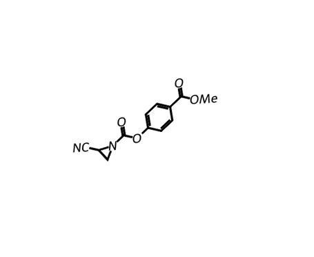 COC(=O)c1ccc(OC(=O)N2CC2C#N)cc1